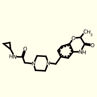 CC1Oc2ccc(CN3CCN(CC(=O)NC4CC4)CC3)cc2NC1=O